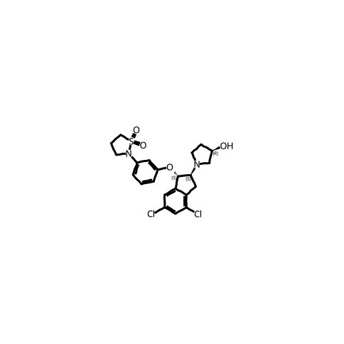 O=S1(=O)CCCN1c1cccc(O[C@H]2c3cc(Cl)cc(Cl)c3C[C@@H]2N2CC[C@@H](O)C2)c1